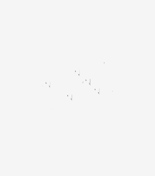 C1=NC(=Nn2cccn2)N=C1